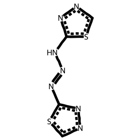 c1nnc(N=NNc2nncs2)s1